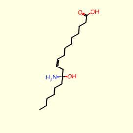 CCCCCC[C@@](N)(O)C/C=C\CCCCCCCC(=O)O